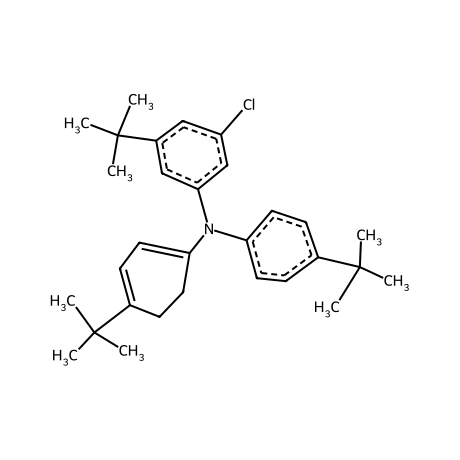 CC(C)(C)C1=CC=C(N(c2ccc(C(C)(C)C)cc2)c2cc(Cl)cc(C(C)(C)C)c2)CC1